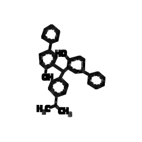 CC(C)c1ccc(C(c2cc(-c3ccccc3)ccc2O)c2cc(-c3ccccc3)ccc2O)cc1